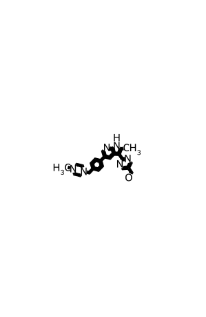 Cc1[nH]c2ncc(-c3ccc(CN4CCN(C)CC4)cc3)cc2c1-c1ncc(C=O)cn1